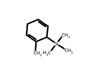 CC1=CCC=CC1[Si](C)(C)C